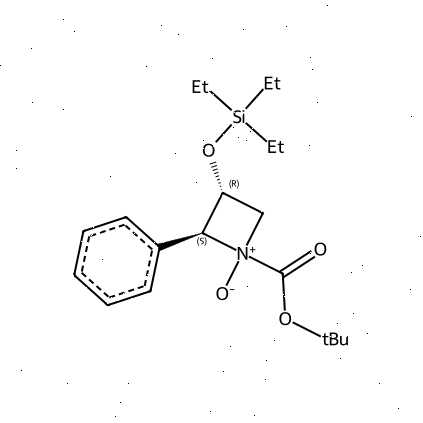 CC[Si](CC)(CC)O[C@@H]1C[N+]([O-])(C(=O)OC(C)(C)C)[C@H]1c1ccccc1